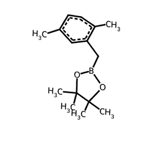 Cc1ccc(C)c(CB2OC(C)(C)C(C)(C)O2)c1